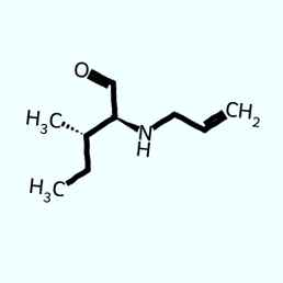 C=CCN[C@H](C=O)[C@@H](C)CC